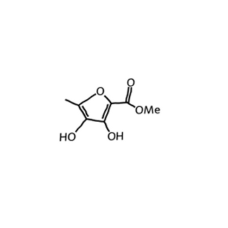 COC(=O)c1oc(C)c(O)c1O